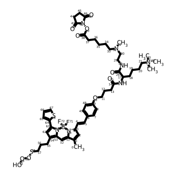 CC1=CC(/C=C/c2ccc(OCCCC(=O)NC(CCCC[N+](C)(C)C)C(=O)NCCN(C)CCCCCC(=O)ON3C(=O)CCC3=O)cc2)=[N+]2C1=Cc1c(CCCSOOO)cc(-c3cccs3)n1[B-]2(F)F